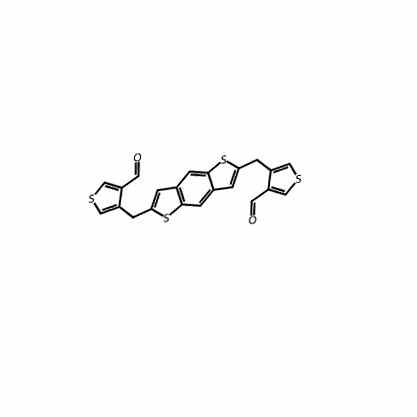 O=Cc1cscc1Cc1cc2cc3sc(Cc4cscc4C=O)cc3cc2s1